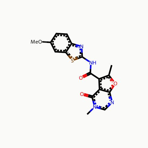 COc1ccc2nc(NC(=O)c3c(C)oc4ncn(C)c(=O)c34)sc2c1